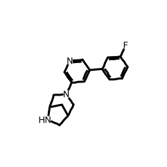 Fc1cccc(-c2cncc(N3CC4CNC(C4)C3)c2)c1